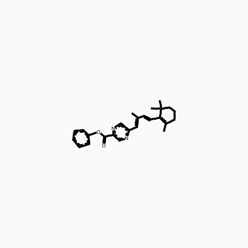 CC(C=CC1=C(C)CCCC1(C)C)=Cc1cnc(C(=O)Oc2ccccc2)cn1